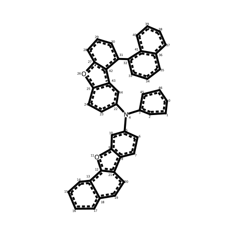 c1ccc(N(c2ccc3c(c2)oc2c4ccccc4ccc32)c2ccc3oc4cccc(-c5cccc6ccccc56)c4c3c2)cc1